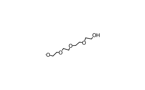 [O]CCOCCOCCOCCO